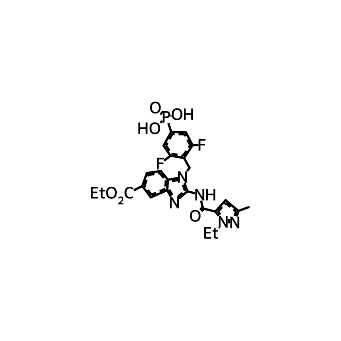 CCOC(=O)c1ccc2c(c1)nc(NC(=O)c1cc(C)nn1CC)n2Cc1c(F)cc(P(=O)(O)O)cc1F